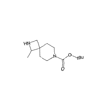 CC1NCC12CCN(C(=O)OC(C)(C)C)CC2